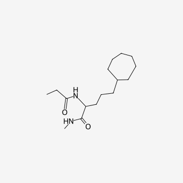 CCC(=O)NC(CCCC1CCCCCC1)C(=O)NC